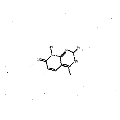 CC1=c2ccc(=O)n(C(C)C)c2=NC(N)N1